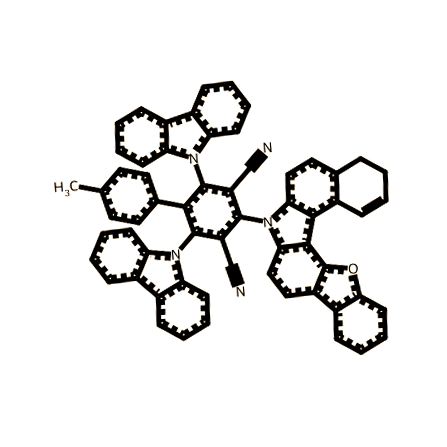 Cc1ccc(-c2c(-n3c4ccccc4c4ccccc43)c(C#N)c(-n3c4ccc5c(c4c4c6oc7ccccc7c6ccc43)C=CCC5)c(C#N)c2-n2c3ccccc3c3ccccc32)cc1